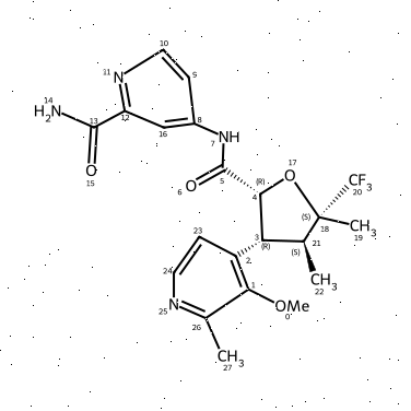 COc1c([C@@H]2[C@H](C(=O)Nc3ccnc(C(N)=O)c3)O[C@](C)(C(F)(F)F)[C@H]2C)ccnc1C